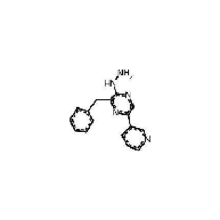 NNc1ncc(-c2cccnc2)nc1Cc1ccccc1